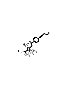 C=C(C)C1CC(C/C(=N\C)C2=CCC(C#CCCF)C=C2)C1(C)C